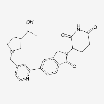 CC(O)C1CCN(Cc2ccnc(-c3ccc4c(c3)CN(C3CCC(=O)NC3=O)C4=O)c2)C1